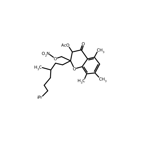 CC(=O)OC1C(=O)c2c(C)cc(C)c(C)c2OC1(CCC(C)CCCC(C)C)CO[N+](=O)[O-]